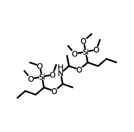 CCCC(OC(C)NC(C)OC(CCC)[Si](OC)(OC)OC)[Si](OC)(OC)OC